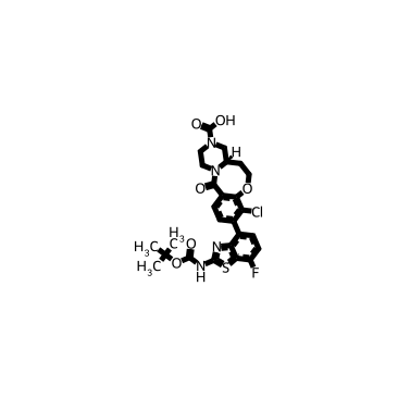 CC(C)(C)OC(=O)Nc1nc2c(-c3ccc4c(c3Cl)OCC[C@H]3CN(C(=O)O)CCN3C4=O)ccc(F)c2s1